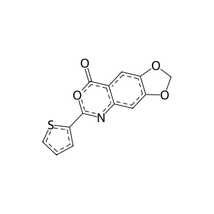 O=c1oc(-c2cccs2)nc2cc3c(cc12)OCO3